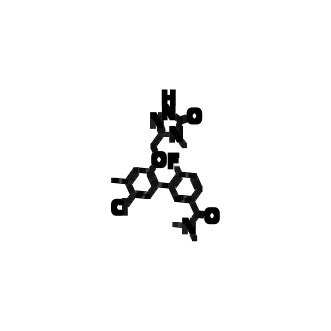 Cc1cc(OCc2n[nH]c(=O)n2C)c(-c2cc(C(=O)N(C)C)ccc2F)cc1Cl